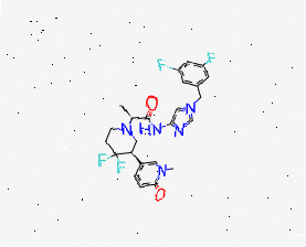 C[C@@H](C(=O)Nc1cn(Cc2cc(F)cc(F)c2)cn1)N1CCC(F)(F)[C@H](c2ccc(=O)n(C)c2)C1